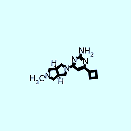 CN1C[C@@H]2CN(c3cc(C4CCC4)nc(N)n3)C[C@@H]2C1